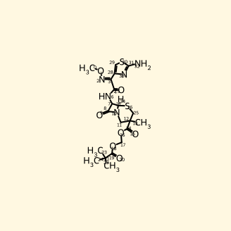 CON=C(C(=O)NC1C(=O)N2CC(C)(C(=O)OCOC(=O)C(C)(C)C)CS[C@H]12)c1csc(N)n1